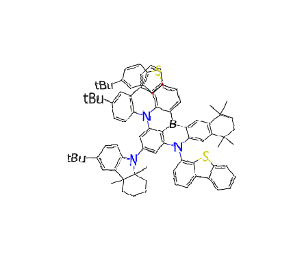 CC(C)(C)c1ccc(N2c3cc(N4c5ccc(C(C)(C)C)cc5C5(C)CCCCC45C)cc4c3B(c3cc5c(cc3N4c3cccc4c3sc3ccccc34)C(C)(C)CCC5(C)C)c3ccc4sc5ccc(C(C)(C)C)cc5c4c32)c(-c2ccccc2)c1